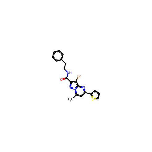 O=C(NCCc1ccccc1)c1nn2c(C(F)(F)F)cc(-c3cccs3)nc2c1Br